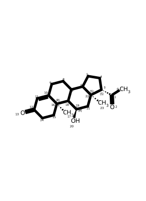 CC(=O)[C@H]1CCC2C3CCC4=CC(=O)CC[C@]4(C)C3[C@H](O)C[C@@]21C